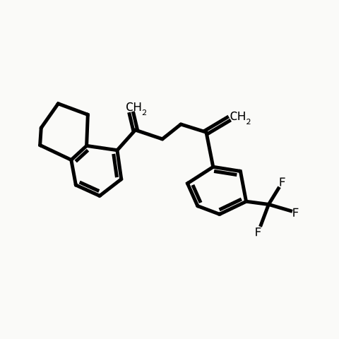 C=C(CCC(=C)c1cccc2c1CCCC2)c1cccc(C(F)(F)F)c1